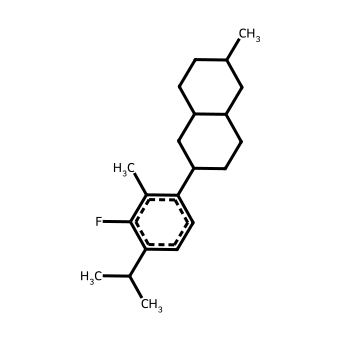 Cc1c(C2CCC3CC(C)CCC3C2)ccc(C(C)C)c1F